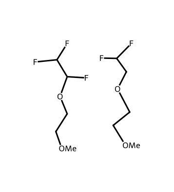 COCCOC(F)C(F)F.COCCOCC(F)F